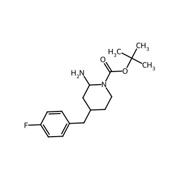 CC(C)(C)OC(=O)N1CCC(Cc2ccc(F)cc2)CC1N